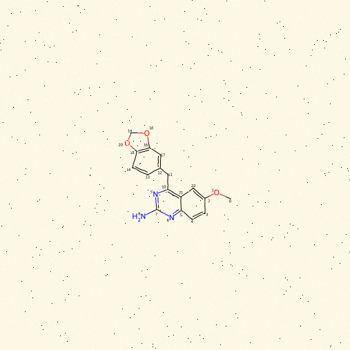 COc1ccc2nc(N)nc(Cc3ccc4c(c3)OCO4)c2c1